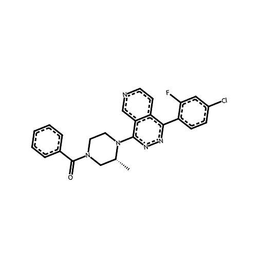 C[C@@H]1CN(C(=O)c2ccccc2)CCN1c1nnc(-c2ccc(Cl)cc2F)c2ccncc12